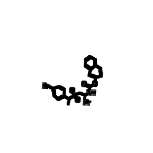 CC(C)[C@@H](CS(=O)(=O)C(C)c1ccc(Br)cc1)NC(=O)Oc1ccc2ccccc2c1